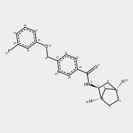 O=C(N[C@H]1C[C@H]2CC[C@@H]1C2)c1ccc(COc2cccc(F)c2)nc1